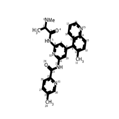 CNC(C)C(=O)Nc1cc(-c2c(C)ccc3ncccc23)cc(NC(=O)c2ccc(C)cn2)n1